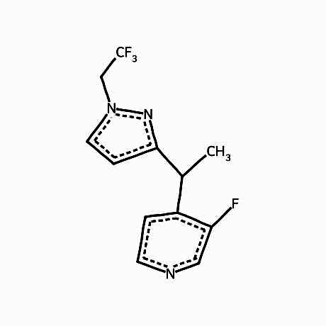 CC(c1ccn(CC(F)(F)F)n1)c1ccncc1F